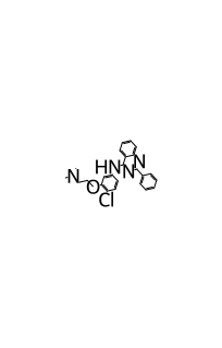 CN(C)CCOc1cc(Nc2nc(-c3ccccc3)nc3ccccc23)ccc1Cl